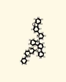 c1ccc(-c2ccc3ncc(-n4c5ccccc5c5ccc6c(c7ccccc7n6-c6cccc(-c7ccc8oc9ccccc9c8c7)n6)c54)cc3n2)cc1